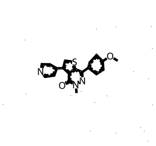 COc1ccc(-c2nn(C)c(=O)c3c(-c4ccncc4)csc23)cc1